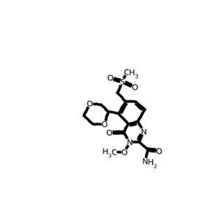 COn1c(C(N)=O)nc2ccc(CS(C)(=O)=O)c(C3COCCO3)c2c1=O